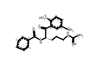 N=C(N)NCCC[C@H](NC(=O)c1ccccc1)C(=O)c1cc(N)ccc1C(=O)O